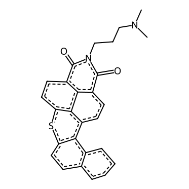 CN(C)CCCn1c(=O)c2ccc3sc4ccc5ccccc5c4c4ccc(c1=O)c2c34